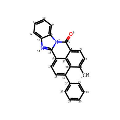 N#Cc1ccc2c(=O)n3c4ccccc4nc3c3ccc(-c4ccccc4)c1c23